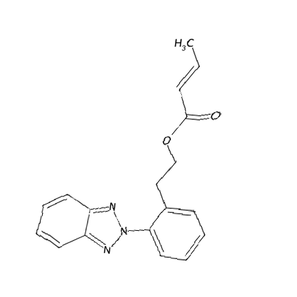 CC=CC(=O)OCCc1ccccc1-n1nc2ccccc2n1